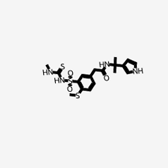 CNC(=S)NS(=O)(=O)c1cc(CC(=O)NC(C)(C)c2cc[nH]c2)ccc1SC